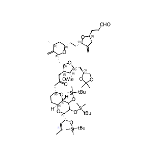 C=C1C[C@H](CCC=O)O[C@H]1CC[C@H]1C[C@@H](C)C(=C)[C@@H](C[C@@H]2O[C@H](C[C@H]3COC(C)(C)O3)[C@H](OC)[C@H]2CC(=O)C[C@H]2CC[C@@H]3O[C@@H](C(/C=C/C)O[Si](C)(C)C(C)(C)C)C(O[Si](C)(C)C(C)(C)C)C(O[Si](C)(C)C(C)(C)C)[C@H]3O2)O1